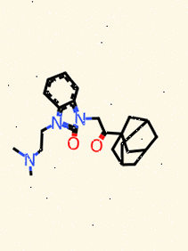 CN(C)CCn1c(=O)n(CC(=O)C23CC4CC(CC(C4)C2)C3)c2ccccc21